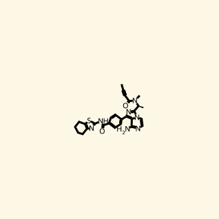 CC#CC(=O)N(C)[C@@H](C)c1nc(-c2ccc(C(=O)Nc3nc4c(s3)CCCC4)cc2)c2c(N)nccn12